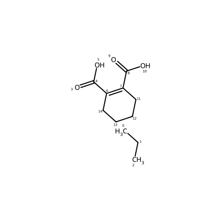 CCC.O=C(O)C1=C(C(=O)O)CCCC1